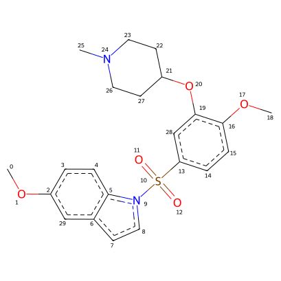 COc1ccc2c(ccn2S(=O)(=O)c2ccc(OC)c(OC3CCN(C)CC3)c2)c1